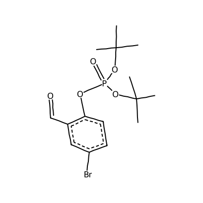 CC(C)(C)OP(=O)(Oc1ccc(Br)cc1C=O)OC(C)(C)C